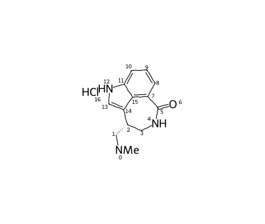 CNC[C@H]1CNC(=O)c2cccc3[nH]cc1c23.Cl